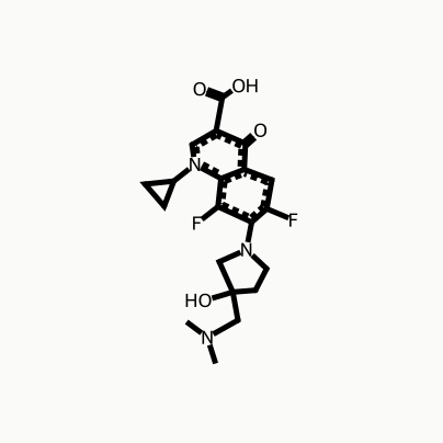 CN(C)CC1(O)CCN(c2c(F)cc3c(=O)c(C(=O)O)cn(C4CC4)c3c2F)C1